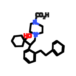 O=C(O)N1CCN(CC(c2ccccc2CCc2ccccc2)C2(O)CCCCC2)CC1